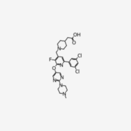 CN1CCN(c2ncc(Oc3nc(-c4cc(Cl)cc(Cl)c4)cc(CN4CCC(CC(=O)O)CC4)c3F)cn2)CC1